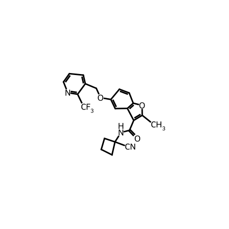 Cc1oc2ccc(OCc3cccnc3C(F)(F)F)cc2c1C(=O)NC1(C#N)CCC1